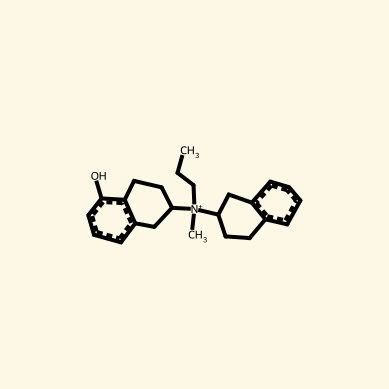 CCC[N+](C)(C1CCc2ccccc2C1)C1CCc2c(O)cccc2C1